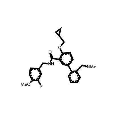 CNCc1ccccc1-c1ccc(OCC2CC2)c(C(=O)NCc2ccc(OC)c(F)c2)c1